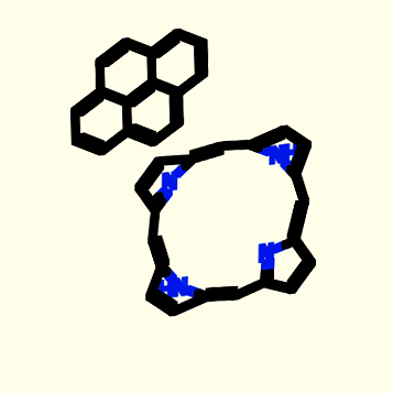 C1=Cc2cc3ccc(cc4nc(cc5ccc(cc1n2)[nH]5)C=C4)[nH]3.c1cc2ccc3cccc4ccc(c1)c2c34